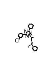 CC/C(=C\C=C(/C)c1nc(-c2ccccc2)nc(-c2cccc(Cl)c2)n1)c1ccccc1